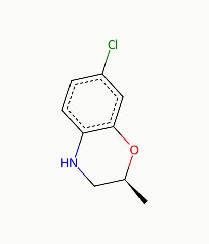 C[C@H]1CNc2ccc(Cl)cc2O1